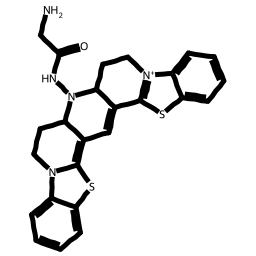 NCC(=O)NN1C2CC[n+]3c(sc4ccccc43)C2=CC2=C3Sc4ccccc4N3CCC21